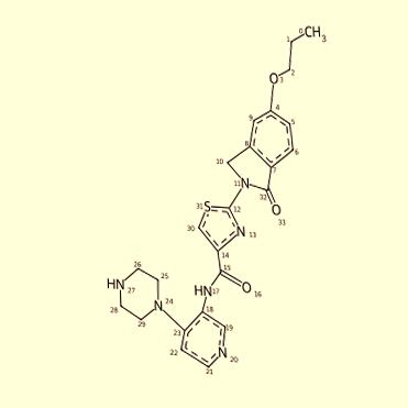 CCCOc1ccc2c(c1)CN(c1nc(C(=O)Nc3cnccc3N3CCNCC3)cs1)C2=O